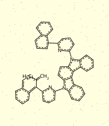 C=C(C)/C(c1cccc(-n2c3ccccc3c3c4c5ccccc5n(-c5cccc(-c6cccc7ccccc67)n5)c4ccc32)n1)=c1/cccc/c1=C/C